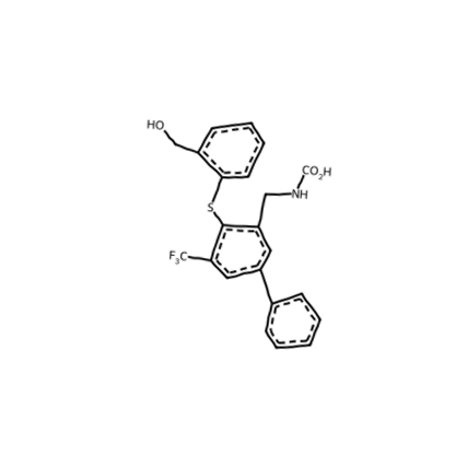 O=C(O)NCc1cc(-c2ccccc2)cc(C(F)(F)F)c1Sc1ccccc1CO